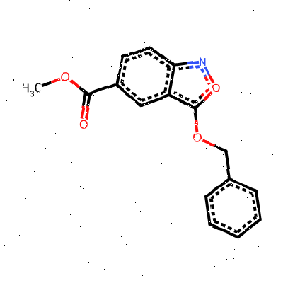 COC(=O)c1ccc2noc(OCc3ccccc3)c2c1